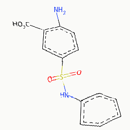 Nc1ccc(S(=O)(=O)Nc2ccccc2)cc1C(=O)O